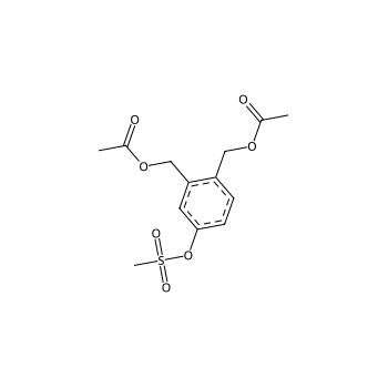 CC(=O)OCc1ccc(OS(C)(=O)=O)cc1COC(C)=O